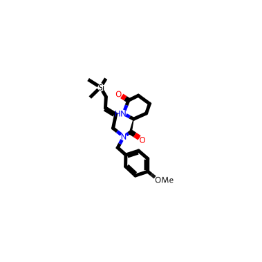 COc1ccc(CN(C/C=C/C[Si](C)(C)C)C(=O)[C@@H]2CCCC(=O)N2)cc1